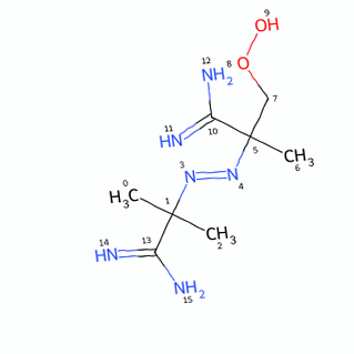 CC(C)(N=NC(C)(COO)C(=N)N)C(=N)N